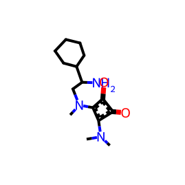 CN(C)c1c(N(C)CC(N)C2CCCCC2)c(=O)c1=O